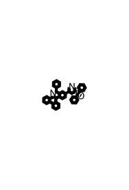 O=P(c1ccccc1)(c1ccccc1)c1cncc(-c2ccc3c(c2)c(-c2ccccc2)nc2c4ccccc4c4ccccc4c32)c1